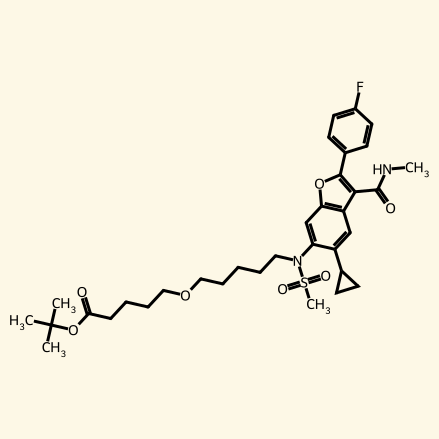 CNC(=O)c1c(-c2ccc(F)cc2)oc2cc(N(CCCCCOCCCCC(=O)OC(C)(C)C)S(C)(=O)=O)c(C3CC3)cc12